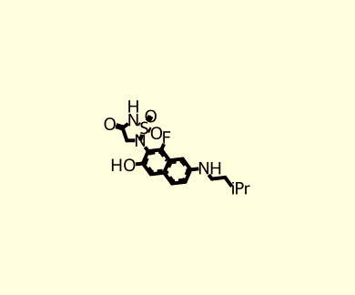 CC(C)CCNc1ccc2cc(O)c(N3CC(=O)NS3(=O)=O)c(F)c2c1